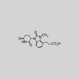 Cn1c(=O)n(C2CCC(=O)NC2=O)c2cccc(CCC(=O)O)c21